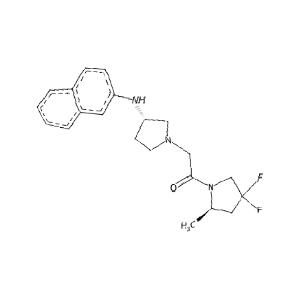 C[C@@H]1CC(F)(F)CN1C(=O)CN1CC[C@H](Nc2ccc3ccccc3c2)C1